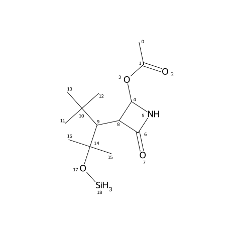 CC(=O)OC1NC(=O)C1C(C(C)(C)C)C(C)(C)O[SiH3]